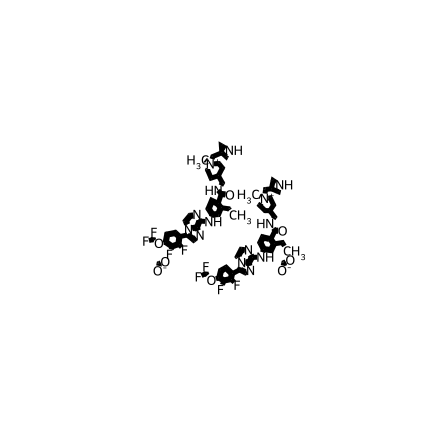 CCc1cc(Nc2nccn3c(-c4ccc(OC(F)F)c(F)c4F)cnc23)ccc1C(=O)NCC1CC[N+](C)(CC2CNC2)CC1.CCc1cc(Nc2nccn3c(-c4ccc(OC(F)F)c(F)c4F)cnc23)ccc1C(=O)NCC1CC[N+](C)(CC2CNC2)CC1.O=C[O-].O=C[O-]